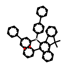 CC1(C)c2ccccc2-c2c(N(c3ccc(-c4ccccc4)cc3)c3cccc(-c4ccccc4)c3)c(-c3ccccc3)c3ccccc3c21